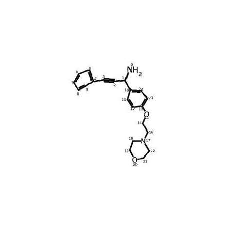 NC(C#Cc1ccccc1)c1ccc(OCCN2CCOCC2)cc1